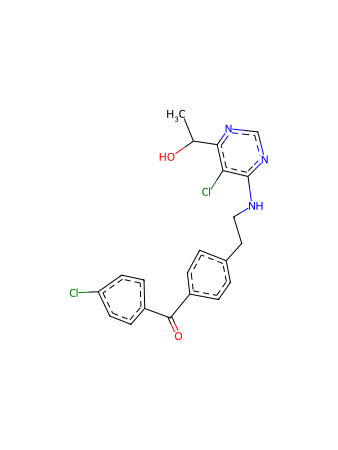 CC(O)c1ncnc(NCCc2ccc(C(=O)c3ccc(Cl)cc3)cc2)c1Cl